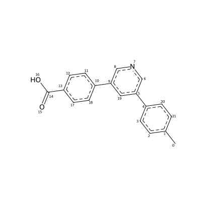 Cc1ccc(-c2cncc(-c3ccc(C(=O)O)cc3)c2)cc1